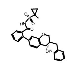 CC1(S(=O)(=O)NC(=O)c2ccccc2-c2ccc3c(c2)OCC(Cc2ccccc2)[C@@H]3O)CC1